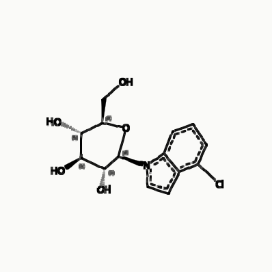 OC[C@H]1O[C@@H](n2ccc3c(Cl)cccc32)[C@H](O)[C@@H](O)[C@@H]1O